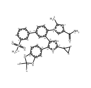 Cc1nc(C(N)=O)cn1-c1ccc(-c2cccc(S(C)(=O)=O)c2)cc1-c1nc(C2CC2)oc1-c1ccc2c(c1)OC(F)(F)O2